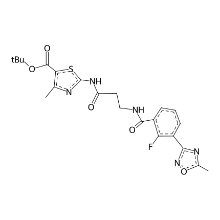 Cc1nc(-c2cccc(C(=O)NCCC(=O)Nc3nc(C)c(C(=O)OC(C)(C)C)s3)c2F)no1